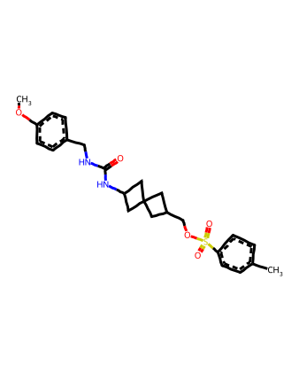 COc1ccc(CNC(=O)NC2CC3(CC(COS(=O)(=O)c4ccc(C)cc4)C3)C2)cc1